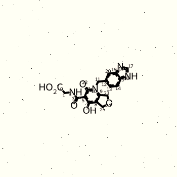 O=C(O)CNC(=O)c1c(O)c2c(n(Cc3ccc4[nH]cnc4c3)c1=O)COC2